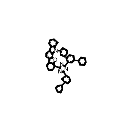 c1ccc(-c2cccc(-c3nc(-c4cccc(-c5ccccc5)c4)nc(-c4cccc5c4oc4c5ccc5c6ccccc6n(-c6ccccc6)c54)n3)c2)cc1